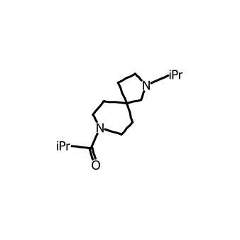 CC(C)C(=O)N1CCC2(CC1)CCN(C(C)C)C2